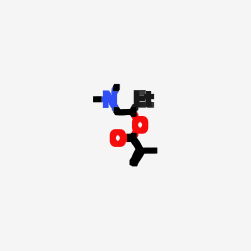 C=C(C)C(=O)OC(CC)CN(C)C